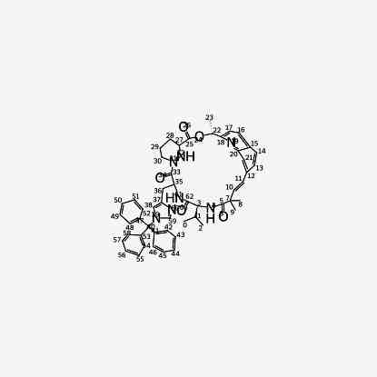 CC(C)[C@@H]1NC(=O)C(C)(C)/C=C/c2ccc3ccc(nc3c2)[C@@H](C)OC(=O)C2CCCN(N2)C(=O)C(Cc2cn(C(c3ccccc3)(c3ccccc3)c3ccccc3)cn2)NC1=O